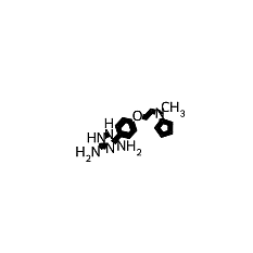 CN(CCOc1ccc(C2(N)N=C(N)NN2)cc1)C1CCCC1